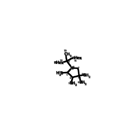 BC1C(B)C(B)(B)CN1C(C)(CCCCCC)CCCCCC